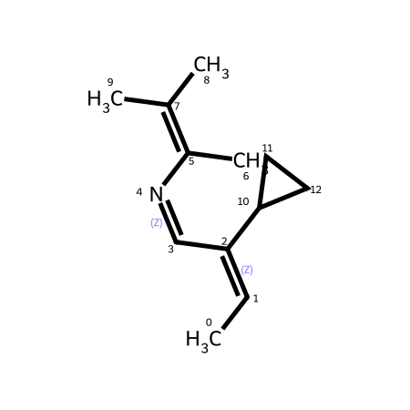 C/C=C(\C=N/C(C)=C(C)C)C1CC1